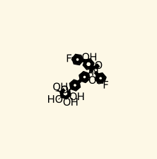 O=C1N(c2ccc(F)cc2)[C@H](c2ccc(-c3ccc([C@@H]4O[C@H](CO)[C@@H](O)[C@H](O)[C@H]4O)cc3)cc2O)C12CCC(O)(c1ccc(F)cc1)CC2